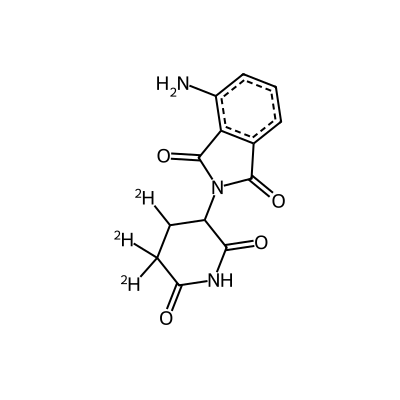 [2H]C1C(N2C(=O)c3cccc(N)c3C2=O)C(=O)NC(=O)C1([2H])[2H]